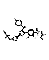 CC[C@@H](C)NS(=O)(=O)c1ccc(-c2sc(-c3nnc(CC(C)(C)C#N)o3)nc2C(=O)N2CCC(F)CC2)c(Cl)c1Cl